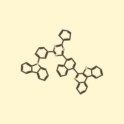 c1ccc(-c2nc(-c3cccc(-n4c5ccccc5c5ccccc54)c3)nc(-c3ccc(-c4nc5ccccc5c5c4oc4ccccc45)c4ccccc34)n2)cc1